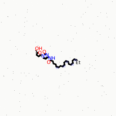 CC/C=C\C/C=C\C/C=C\C/C=C\C/C=C\CCCC(=O)Nc1ccn([C@@H]2CC[C@@H](CO)O2)c(=O)n1